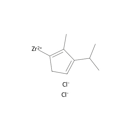 CC1=[C]([Zr+2])CC=C1C(C)C.[Cl-].[Cl-]